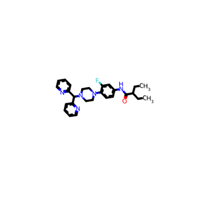 CCC(CC)C(=O)Nc1ccc(N2CCN(C(c3ccccn3)c3ccccn3)CC2)c(F)c1